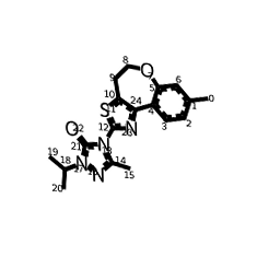 Cc1ccc2c(c1)OCCc1sc(-n3c(C)nn(C(C)C)c3=O)nc1-2